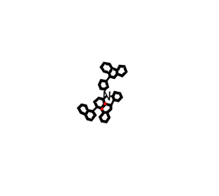 c1cc(-c2cc3ccccc3c3ccccc23)cc(N(c2ccc(-c3cccc4ccccc34)cc2)c2ccccc2-c2ccc3ccccc3c2)c1